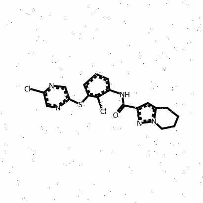 O=C(Nc1cccc(Sc2cnc(Cl)cn2)c1Cl)c1cc2n(n1)CCCC2